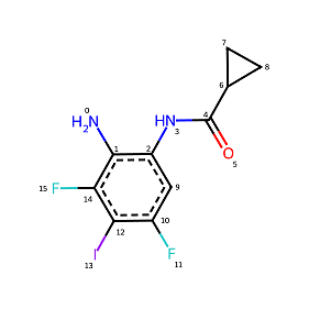 Nc1c(NC(=O)C2CC2)cc(F)c(I)c1F